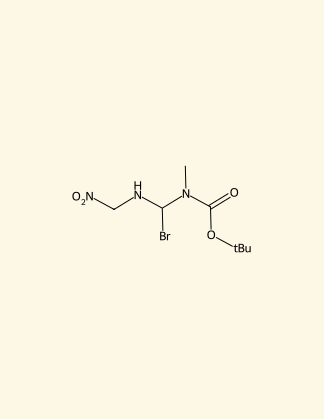 CN(C(=O)OC(C)(C)C)C(Br)NC[N+](=O)[O-]